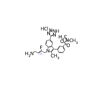 Cc1c(-c2cccc(S(=O)(=O)N(C)C)c2)c2cc(-c3nn[nH]n3)ccc2n1C/C(F)=C/CN.Cl